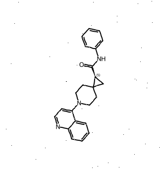 O=C(Nc1ccccc1)[C@H]1CC12CCN(c1ccnc3ccccc13)CC2